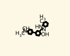 Cc1cccc2nc(-c3cc(-c4ccc(N(C)C)cc4)ccc3O)[nH]c12